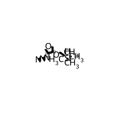 C[SiH](C)C(C)(C)CO[C@H]1COC[C@H]1N=[N+]=[N-]